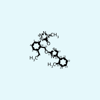 CCc1cccc(-n2nnn(C)c2=O)c1COc1nc(-c2ccccc2C)cs1